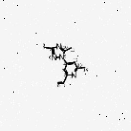 C=Cc1cc(-n2nc(C)nc2C)cc(C)n1